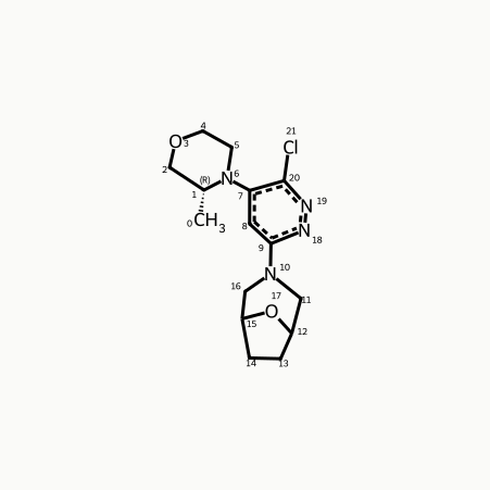 C[C@@H]1COCCN1c1cc(N2CC3CCC(C2)O3)nnc1Cl